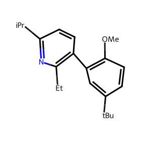 CCc1nc(C(C)C)ccc1-c1cc(C(C)(C)C)ccc1OC